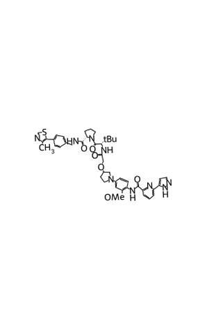 COc1cc(N2CC[C@@H](OCC(=O)N[C@H](C(=O)N3CCC[C@H]3C(=O)NCc3ccc(-c4scnc4C)cc3)C(C)(C)C)C2)ccc1NC(=O)c1cccc(-c2ccn[nH]2)n1